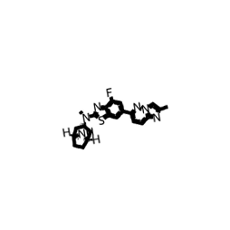 Cc1cn2nc(-c3cc(F)c4nc(N(C)[C@@H]5C[C@H]6CC[C@@H](C5)N6)sc4c3)ccc2n1